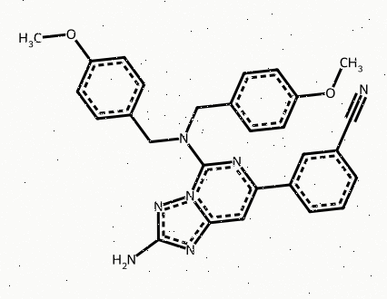 COc1ccc(CN(Cc2ccc(OC)cc2)c2nc(-c3cccc(C#N)c3)cc3nc(N)nn23)cc1